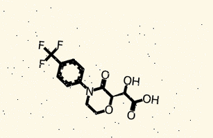 O=C(O)C(O)[C@H]1OCCN(c2ccc(C(F)(F)F)cc2)C1=O